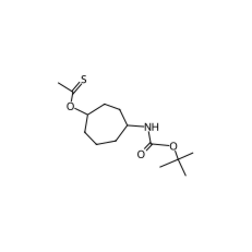 CC(=S)OC1CCCC(NC(=O)OC(C)(C)C)CC1